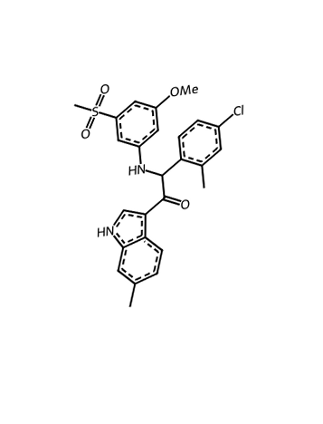 COc1cc(NC(C(=O)c2c[nH]c3cc(C)ccc23)c2ccc(Cl)cc2C)cc(S(C)(=O)=O)c1